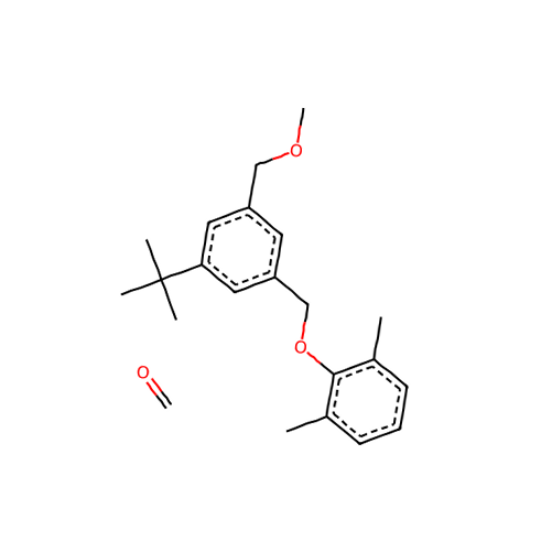 C=O.COCc1cc(COc2c(C)cccc2C)cc(C(C)(C)C)c1